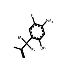 C=C(C)C(CC)(CC)c1cc(F)c(N)cc1O